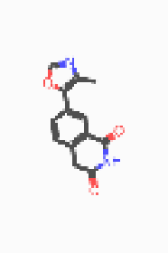 Cc1ncoc1-c1ccc2c(c1)C(=O)NC(=O)C2